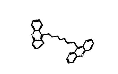 c1ccc2c(CCCCCCCc3c4ccccc4nc4ccccc34)c3ccccc3nc2c1